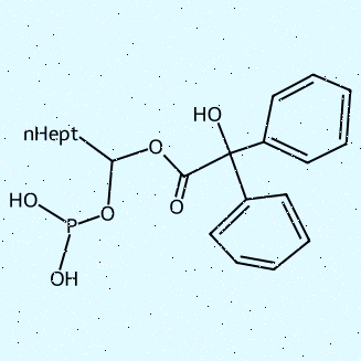 CCCCCCCC(OC(=O)C(O)(c1ccccc1)c1ccccc1)OP(O)O